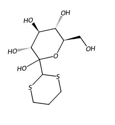 OC[C@H]1OC(O)(C2SCCCS2)[C@H](O)[C@@H](O)[C@@H]1O